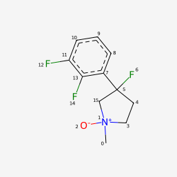 C[N+]1([O-])CCC(F)(c2cccc(F)c2F)C1